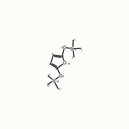 C[Si](C)(C)Oc1ccc(O[Si](C)(C)C)o1